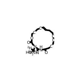 [2H]C([2H])([2H])N1CC(=O)OCCCC/C=C/CCCCCCCC(=O)N/C1=N/C(=O)O